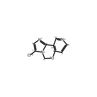 Clc1cnc2n1COc1ccncc1-2